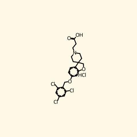 Cl.O=C(O)CCN1CCC2(CC1)COc1cc(OCc3c(Cl)cc(Cl)cc3Cl)ccc12